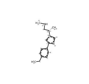 CCc1ccc(-c2cn([C@@H](C)CNC)cn2)cc1